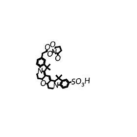 CC1(C)C2=C3C=C4C5=[N+](CCC4OC3CCN2c2ccc(CC(=O)ON3C(=O)CCC3=O)cc21)c1ccc(S(=O)(=O)O)cc1C5(C)C